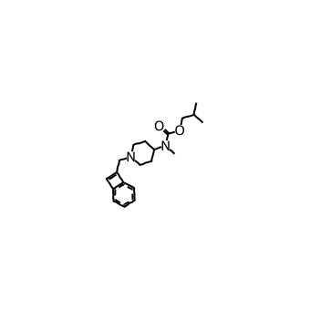 CC(C)COC(=O)N(C)C1CCN(CC2=Cc3ccccc32)CC1